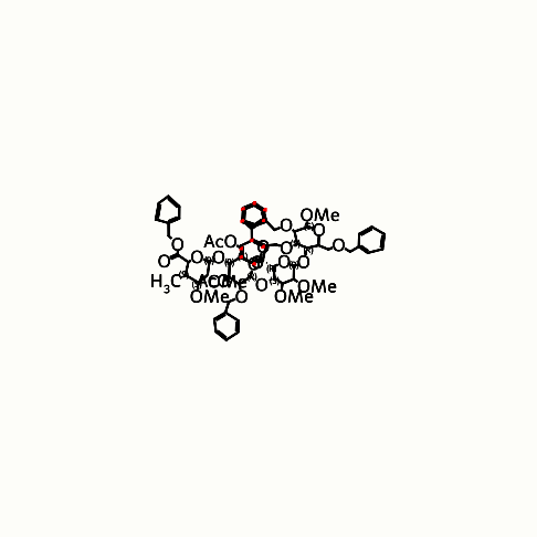 COC1C(OC)[C@H](O[C@H]2O[C@@H](COC(C)=O)[C@@H](O[C@@H]3OC(C(=O)OCc4ccccc4)[C@@H](C)[C@H](OC)C3OC)C(OC(C)=O)C2OCc2ccccc2)[C@H](C(=O)OCc2ccccc2)O[C@H]1O[C@@H]1C(COCc2ccccc2)O[C@H](OC)C(OCc2ccccc2)[C@H]1OCc1ccccc1